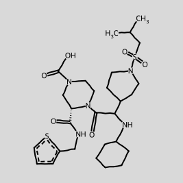 CC(C)CS(=O)(=O)N1CCC(C(NC2CCCCC2)C(=O)N2CCN(C(=O)O)C[C@H]2C(=O)NCc2cccs2)CC1